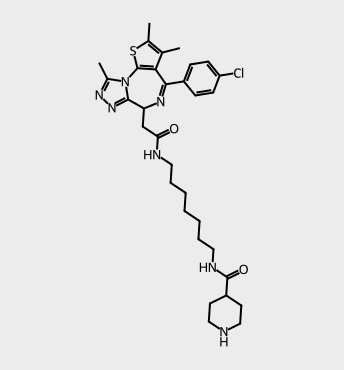 Cc1sc2c(c1C)C(c1ccc(Cl)cc1)=NC(CC(=O)NCCCCCCCNC(=O)C1CCNCC1)c1nnc(C)n1-2